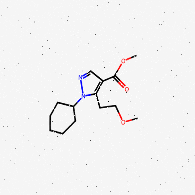 COCCc1c(C(=O)OC)cnn1C1CCCCC1